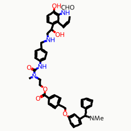 C/C=C\c1c(C(O)CNCc2ccc(NC(=O)N(C)CCOC(=O)c3ccc(COc4cccc(C(NC)c5ccccc5)c4)cc3)cc2)ccc(O)c1NC=O